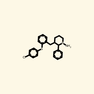 NN1CCCC(Cc2ccccc2Sc2ccc(Cl)cc2)C1c1ccccc1